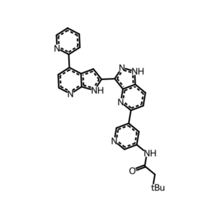 CC(C)(C)CC(=O)Nc1cncc(-c2ccc3[nH]nc(-c4cc5c(-c6ccccn6)ccnc5[nH]4)c3n2)c1